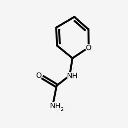 NC(=O)NC1C=CC=CO1